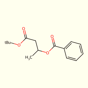 CC(CC(=O)OC(C)(C)C)OC(=O)c1ccccc1